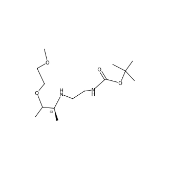 COCCOC(C)[C@H](C)NCCNC(=O)OC(C)(C)C